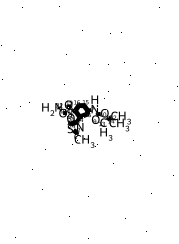 Cc1nc(-c2cc(NC(=O)OC(C)(C)C)ccc2S(=O)(=O)ON)cs1